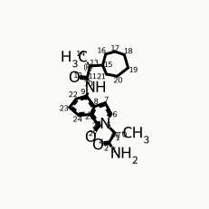 C[C@H](C(N)=O)n1ccc2c(NC(=O)[C@H](C)C3CCCCCC3)cccc2c1=O